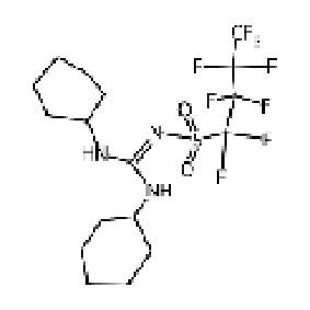 O=S(=O)(N=C(NC1CCCCC1)NC1CCCCC1)C(F)(F)C(F)(F)C(F)(F)C(F)(F)F